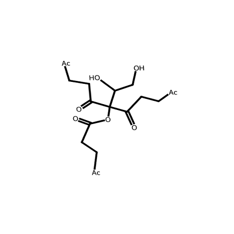 CC(=O)CCC(=O)OC(C(=O)CCC(C)=O)(C(=O)CCC(C)=O)C(O)CO